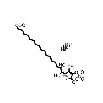 O=C([O-])CCCCCCCCCCCCCCCC(O)[C@H](O)[C@H]1OC(=O)C(OP(=O)([O-])[O-])=C1O.[Na+].[Na+].[Na+]